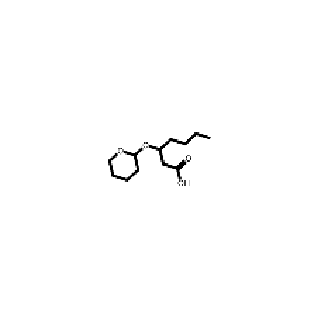 CCCCC(CC(=O)O)OC1CCCCO1